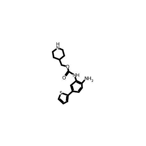 Nc1ccc(-c2cccs2)cc1NC(=O)OCC1CCNCC1